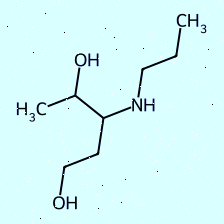 CCCNC(CCO)C(C)O